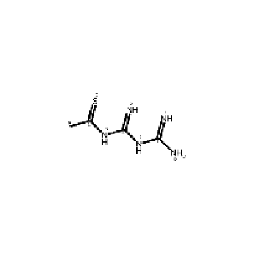 CC(=S)NC(=N)NC(=N)N